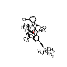 C[Si](C)(C)C#Cc1ccc(S(C)(=O)=O)c([C@@H]2NC(=O)C[C@@H](c3cccc(Cl)c3)[C@]23C(=O)Nc2cc(Cl)ccc23)c1